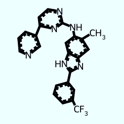 Cc1cc2nc(-c3cccc(C(F)(F)F)c3)[nH]c2cc1Nc1nccc(-c2cccnc2)n1